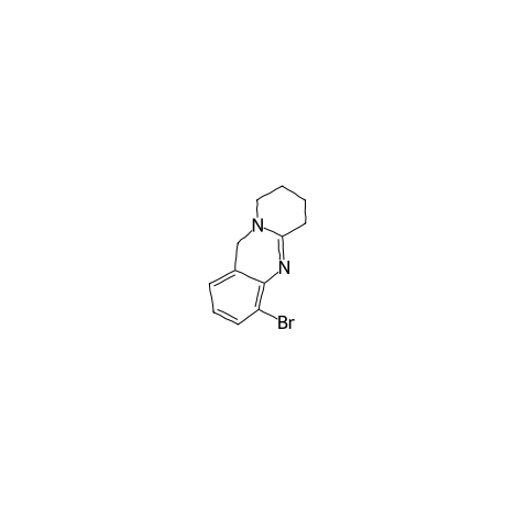 Brc1cccc2c1N=C1CCCCN1C2